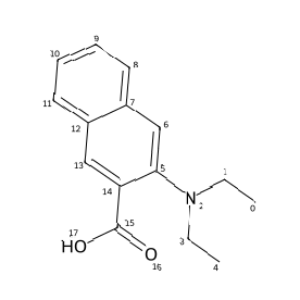 CCN(CC)c1cc2ccccc2cc1C(=O)O